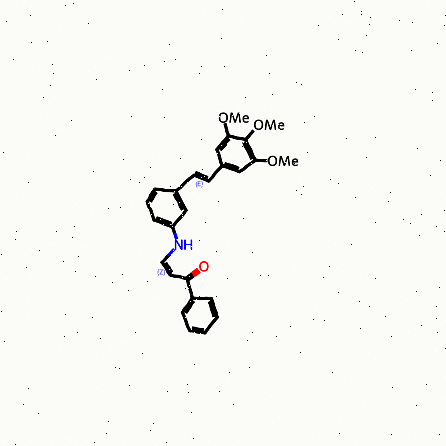 COc1cc(/C=C/c2cccc(N/C=C\C(=O)c3ccccc3)c2)cc(OC)c1OC